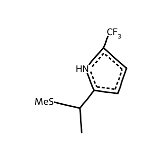 CSC(C)c1ccc(C(F)(F)F)[nH]1